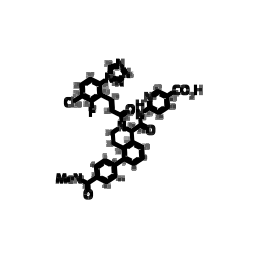 CNC(=O)c1ccc(-c2cccc3c2CCN(C(=O)C=Cc2c(-n4cnnn4)ccc(Cl)c2F)C3C(=O)Nc2ccc(C(=O)O)cn2)cc1